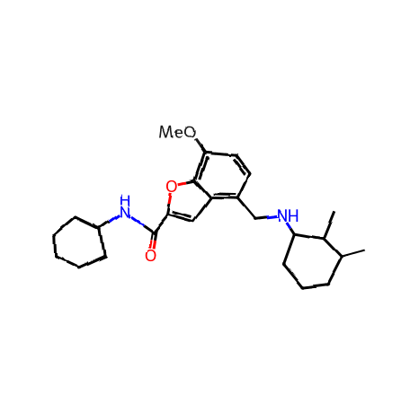 COc1ccc(CNC2CCCC(C)C2C)c2cc(C(=O)NC3CCCCC3)oc12